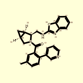 Cc1ccc(-c2cccnc2)c(C(=O)N2C[C@H]3C[C@H]3[C@H]2CNc2nc3ccccc3o2)c1